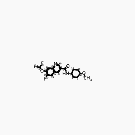 CO[C@H]1CC[C@H](NC(=O)c2cnc3cc(OC(F)F)c(F)cc3c2)CC1